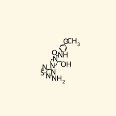 COc1ccc(NC(=O)N2CCN(c3nc(N)nc4scnc34)C[C@@H]2CO)cc1